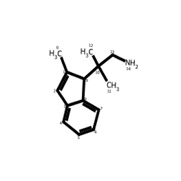 CC1=Cc2ccccc2C1C(C)(C)CN